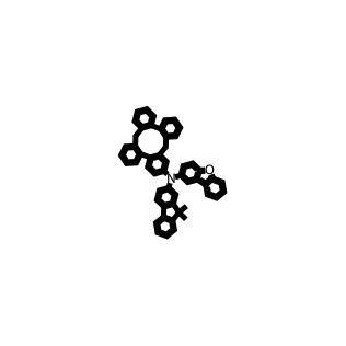 CC1(C)c2ccccc2-c2ccc(N(c3ccc4c(c3)Cc3ccccc3-c3ccccc3Cc3ccccc3-4)c3ccc4oc5ccccc5c4c3)cc21